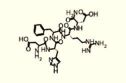 N=C(N)NCCC[C@H](NC(=O)[C@H](Cc1ccccc1)NC(=O)[C@H](Cc1c[nH]cn1)NC(=O)[C@@H](N)CC(=O)O)C(=O)N[C@@H](CC(=O)O)C(N)=O